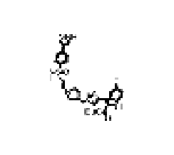 CC(C)COC(=O)c1[nH]c2ccc(F)cc2c1-c1cn(CC2CCN(CCNS(=O)(=O)c3ccc(-c4cn[nH]c4)cc3)CC2)nn1